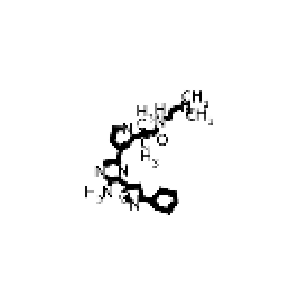 CN(C)CCNC(=O)C(C)(C)c1cc(-c2cnc(N)c(-c3cc(-c4ccccc4)no3)n2)ccn1